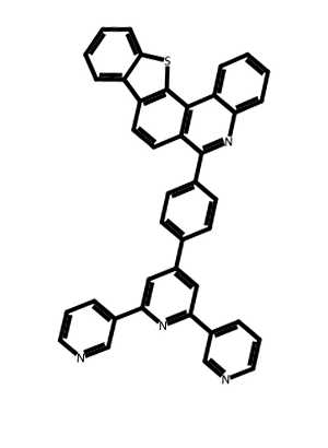 c1cncc(-c2cc(-c3ccc(-c4nc5ccccc5c5c4ccc4c6ccccc6sc45)cc3)cc(-c3cccnc3)n2)c1